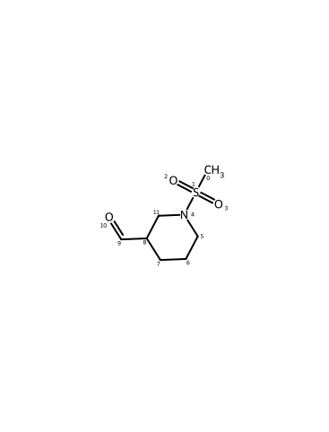 CS(=O)(=O)N1CCCC(C=O)C1